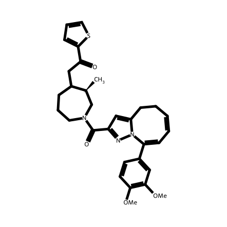 COc1ccc(/C2=C/C=C\CCc3cc(C(=O)N4CCCC(CC(=O)c5cccs5)[C@@H](C)C4)nn32)cc1OC